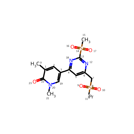 Cc1cc(-c2cc(CS(=O)(=O)C(C)C)nc(S(C)(=O)=O)n2)cn(C)c1=O